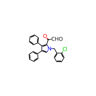 O=CC(=O)c1c(-c2ccccc2)c(-c2ccccc2)cn1Cc1ccccc1Cl